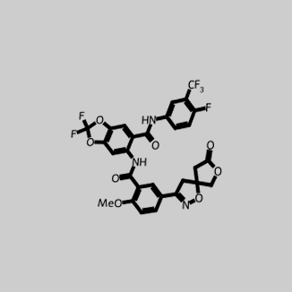 COc1ccc(C2=NOC3(COC(=O)C3)C2)cc1C(=O)Nc1cc2c(cc1C(=O)Nc1ccc(F)c(C(F)(F)F)c1)OC(F)(F)O2